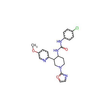 COc1ccc(C2CN(c3ncco3)CCC2NC(=O)Nc2ccc(Cl)cc2)nc1